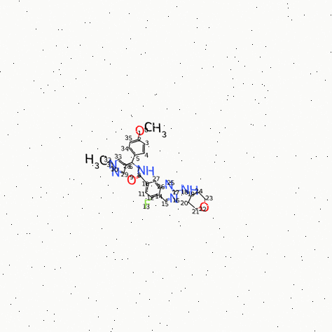 COc1ccc(C(NC(=O)c2cc(F)c3cnc(NC4CCOCC4)nc3c2)c2cnn(C)c2)cc1